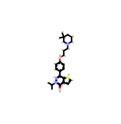 CC(C)n1nc(-c2ccc(OCCCN3CCCC(C)(C)C3)cc2)c2sccc2c1=O